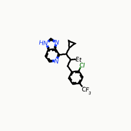 CCC(Cc1ccc(C(F)(F)F)cc1Cl)C(c1nccc2[nH]cnc12)C1CC1